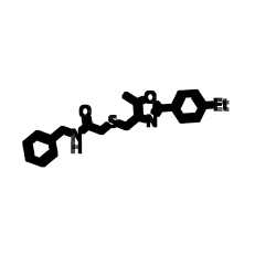 CCc1ccc(-c2nc(CSCC(=O)NCc3ccccc3)c(C)o2)cc1